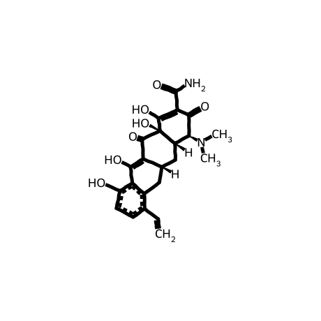 C=Cc1ccc(O)c2c1C[C@H]1C[C@H]3[C@H](N(C)C)C(=O)C(C(N)=O)=C(O)[C@@]3(O)C(=O)C1=C2O